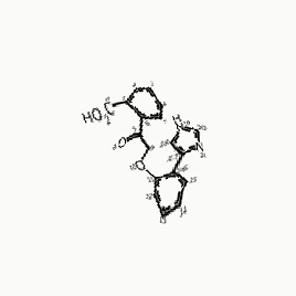 O=C(O)c1ccccc1C(=O)COc1ccccc1-c1c[nH]cn1